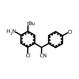 CC(C)(C)c1cc(C(C#N)c2ccc(Cl)cc2)c(Cl)cc1N